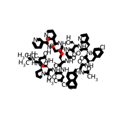 CC(=O)N[C@H](Cc1ccc2ccccc2c1)C(=O)N[C@H](Cc1ccc(Cl)cc1)C(=O)N[C@H](Cc1cccnc1)C(=O)N[C@@H](CO)C(=O)N[C@@H](CCCCNC(=O)c1cccnc1)C(=O)N[C@H](CCCCNC(=O)c1cccnc1)C(=O)N[C@@H](CC(C)C)C(=O)N[C@@H](CCCCNC(C)C)C(=O)N1CCC[C@H]1C(=O)N[C@H](C)C(N)=O